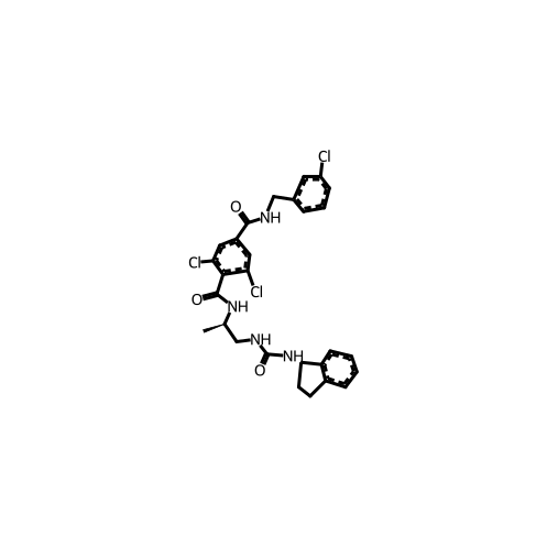 C[C@H](CNC(=O)NC1CCc2ccccc21)NC(=O)c1c(Cl)cc(C(=O)NCc2cccc(Cl)c2)cc1Cl